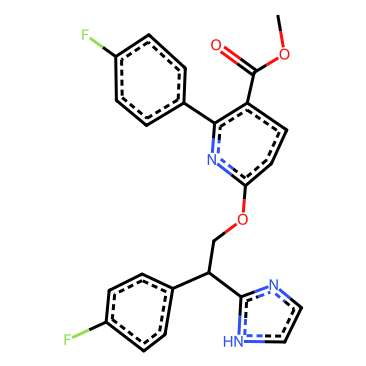 COC(=O)c1ccc(OCC(c2ccc(F)cc2)c2ncc[nH]2)nc1-c1ccc(F)cc1